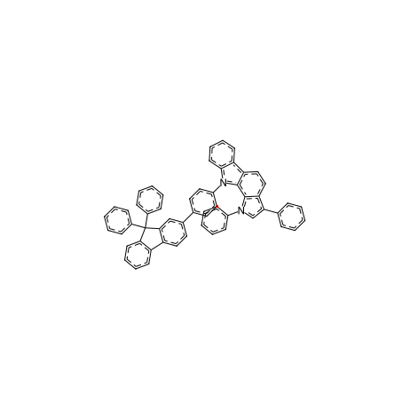 c1ccc(-c2cn(-c3ccccc3)c3c2ccc2c4ccccc4n(-c4ccc(-c5ccc6c(c5)C(c5ccccc5)(c5ccccc5)c5ccccc5-6)cc4)c23)cc1